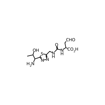 CC(O)C(N)c1nnc(CNC(=O)N[C@@H](CC=O)C(=O)O)s1